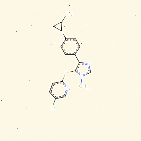 Cn1cnc(-c2ccc([C@H]3CC3C#N)cc2)c1Sc1ccc(Cl)cn1